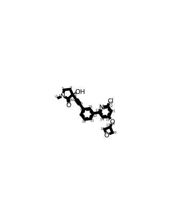 CN1CC[C@@](O)(C#Cc2cccc(-c3cc(OC4COC4)cc(Cl)n3)c2)C1=O